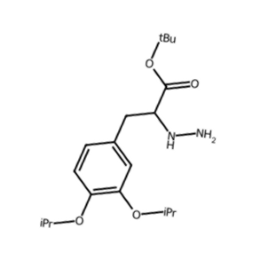 CC(C)Oc1ccc(CC(NN)C(=O)OC(C)(C)C)cc1OC(C)C